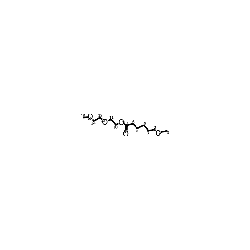 COCCCCCC(=O)OCCOCCOC